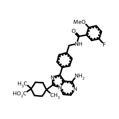 COc1ccc(F)cc1C(=O)NCc1ccc(-c2nc(C3(C)CCC(C)(C(=O)O)CC3)n3ccnc(N)c23)cc1